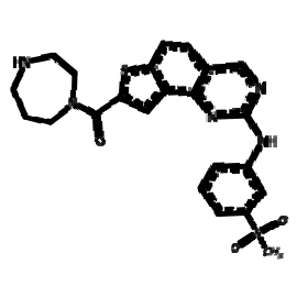 CS(=O)(=O)c1cccc(Nc2ncc3ccc4sc(C(=O)N5CCCNCC5)cc4c3n2)c1